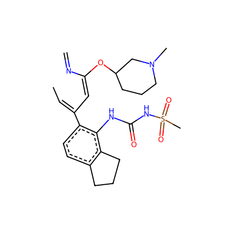 C=N/C(=C\C(=C/C)c1ccc2c(c1NC(=O)NS(C)(=O)=O)CCC2)OC1CCCN(C)C1